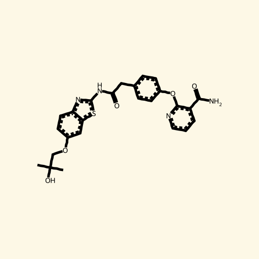 CC(C)(O)COc1ccc2nc(NC(=O)Cc3ccc(Oc4ncccc4C(N)=O)cc3)sc2c1